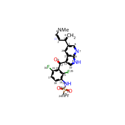 C=C(/C=C\NC)c1cnc2[nH]cc(C(=O)c3c(F)ccc(NS(=O)(=O)CCC)c3F)c2c1